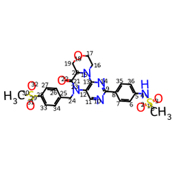 CS(=O)(=O)Nc1ccc(-c2ncc3c(n2)N2CCOCC2C(=O)N3Cc2ccc(S(C)(=O)=O)cc2)cc1